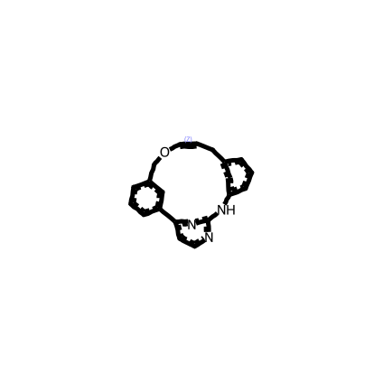 C1=C\OCc2cccc(c2)-c2ccnc(n2)Nc2cccc(c2)C/1